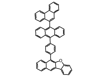 c1ccc2c(-c3ccc(-c4c5ccccc5c(-c5cc6ccccc6c6ccccc56)c5ccccc45)cc3)c3oc4ccccc4c3cc2c1